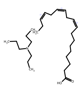 CC/C=C\C/C=C\C/C=C\CCCCCCCC(=O)O.CCCN(CCC)CCC